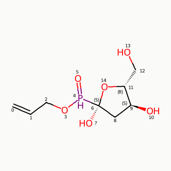 C=CCO[PH](=O)[C@]1(O)C[C@H](O)[C@@H](CO)O1